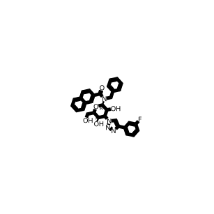 O=C(c1ccc2ccccc2c1)N(Cc1ccccc1)[C@@H]1OC(CO)[C@H](O)C(n2cc(-c3cccc(F)c3)nn2)C1O